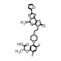 C[C@H](Oc1cc(N2CCN(CCn3c(=O)sc4c3nc(N)n3nc(-c5ccco5)nc43)CC2)c(F)cc1F)C(=O)O